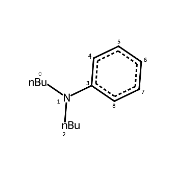 CCCCN(CCCC)c1[c]cccc1